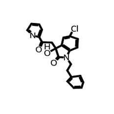 O=C(CC1(O)C(=O)N(CCc2ccccc2)c2ccc(Cl)cc21)c1ccccn1